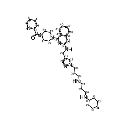 O=C(c1ccccn1)N1CCN(c2nc(NCc3cn(CCCNCCCNC4CCCCC4)nn3)nc3ccccc23)CC1